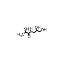 CC(S)C(=O)NCC(O)CO